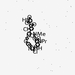 CNC(=O)COc1cc2cc(Nc3nc(N4CCC(O[C@H]5C[C@H](N6CC=C(c7ccc8c(c7Cl)CN([C@H]7CCC(=O)NC7=O)C8=O)CC6)C5)CC4)ncc3Cl)ccc2n(C(C)C)c1=O